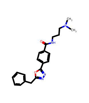 CN(C)CCCNC(=O)c1ccc(-c2nnc(Cc3ccccc3)o2)cc1